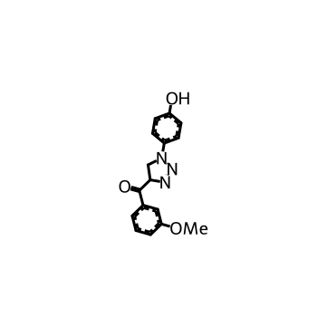 COc1cccc(C(=O)C2CN(c3ccc(O)cc3)N=N2)c1